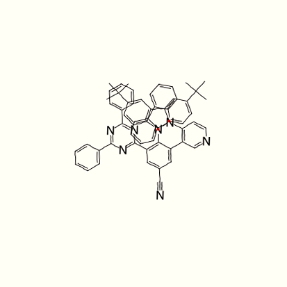 CC(C)(C)c1ccc2c(c1)c1cc(C(C)(C)C)ccc1n2-c1c(-c2nc(-c3ccccc3)nc(-c3ccccc3)n2)cc(C#N)cc1-c1cnccc1-n1c2ccccc2c2ccccc21